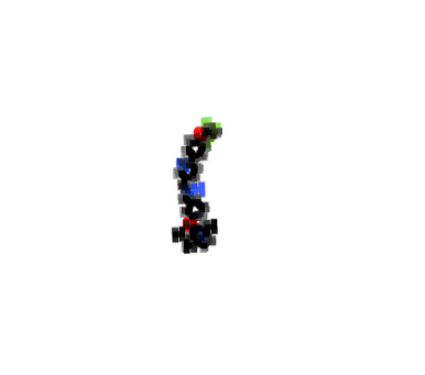 CN1[C@@H]2CC[C@H]1C[C@H](Oc1cccc(CNCc3ccc(-c4ccc(OC(F)(F)F)cc4)nc3)c1)C2